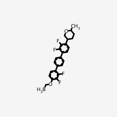 BCOc1ccc(-c2ccc(-c3ccc(C4CCC(C)OC4)c(F)c3F)cc2)c(F)c1F